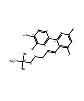 Cc1cc(C)c(C=CCCCC(O)(O)C(=O)O)c(-c2ccc(F)c(C)c2)c1